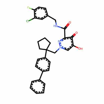 O=C(NCc1ccc(F)c(Cl)c1)c1nn(CC2(c3ccc(-c4ccccc4)cc3)CCCC2)cc(O)c1=O